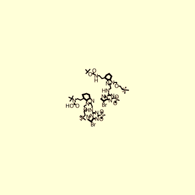 CC(C)(C)N(CCc1cccc2nc(CNc3nc(S(C)(=O)=O)nc4c(Br)cnn34)n(COCC[Si](C)(C)C)c12)C(=O)O.CC(C)(C)OC(=O)NCCc1cccc2c1nc(CNc1nc(S(C)(=O)=O)nc3c(Br)cnn13)n2COCC[Si](C)(C)C